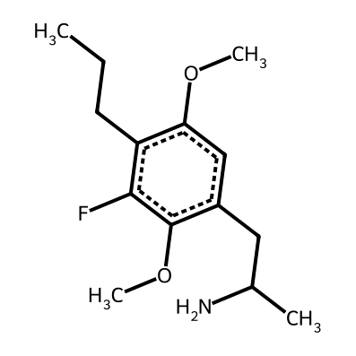 CCCc1c(OC)cc(CC(C)N)c(OC)c1F